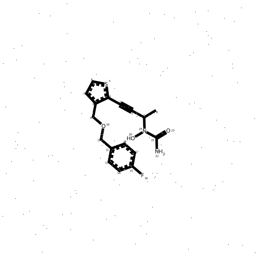 CC(C#Cc1sccc1COCc1ccc(F)cc1)N(O)C(N)=O